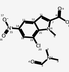 CN(C)C=O.Cn1c(C(=O)O)cc2cc([N+](=O)[O-])cc(Cl)c21